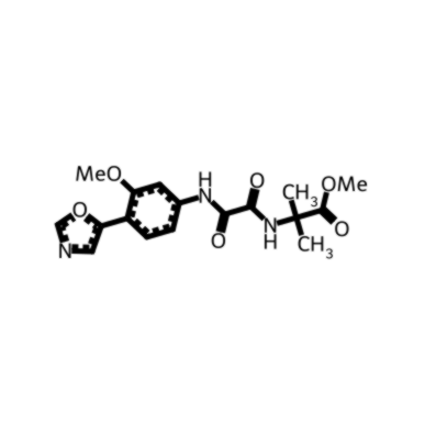 COC(=O)C(C)(C)NC(=O)C(=O)Nc1ccc(-c2cnco2)c(OC)c1